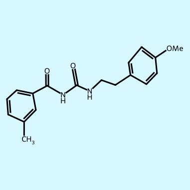 COc1ccc(CCNC(=O)NC(=O)c2cccc(C)c2)cc1